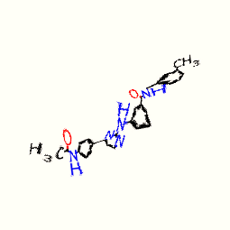 CC(=O)Nc1ccc(-c2ccnc(Nc3cccc(C(=O)NCc4cccc(C)c4)c3)n2)cc1